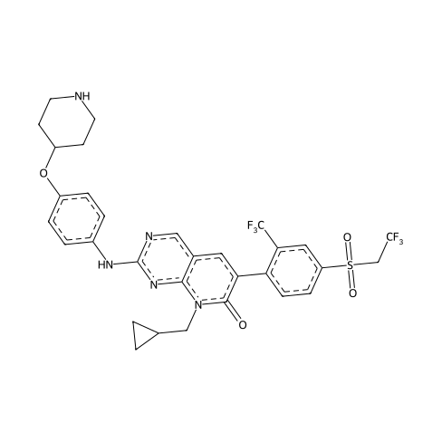 O=c1c(-c2ccc(S(=O)(=O)CC(F)(F)F)cc2C(F)(F)F)cc2cnc(Nc3ccc(OC4CCNCC4)cc3)nc2n1CC1CC1